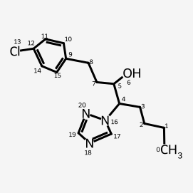 CCCCC(C(O)CCc1ccc(Cl)cc1)n1cncn1